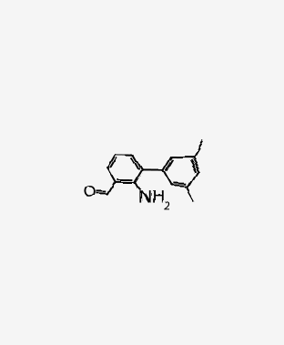 Cc1cc(C)cc(-c2cccc(C=O)c2N)c1